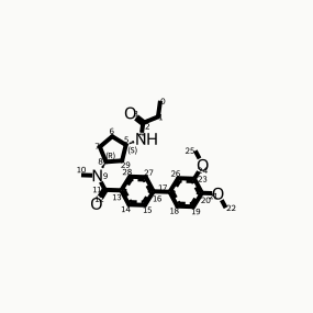 CCC(=O)N[C@H]1CC[C@@H](N(C)C(=O)c2ccc(-c3ccc(OC)c(OC)c3)cc2)C1